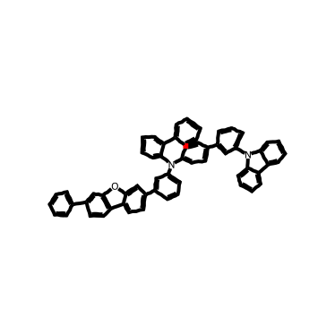 c1ccc(-c2ccc3c(c2)oc2cc(-c4cccc(N(c5ccc(-c6cccc(-n7c8ccccc8c8ccccc87)c6)cc5)c5ccccc5-c5ccccc5)c4)ccc23)cc1